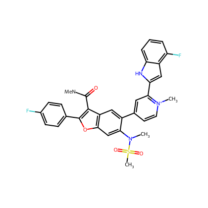 CNC(=O)c1c(-c2ccc(F)cc2)oc2cc(N(C)S(C)(=O)=O)c(-c3cc[n+](C)c(-c4cc5c(F)cccc5[nH]4)c3)cc12